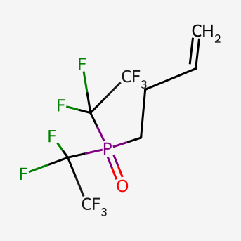 C=CCCP(=O)(C(F)(F)C(F)(F)F)C(F)(F)C(F)(F)F